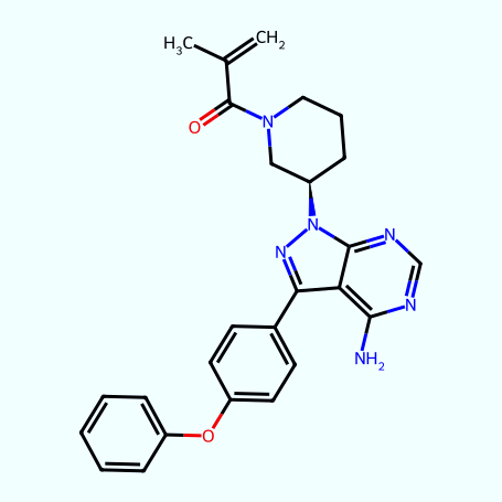 C=C(C)C(=O)N1CCC[C@@H](n2nc(-c3ccc(Oc4ccccc4)cc3)c3c(N)ncnc32)C1